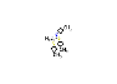 CC(=C\Sc1ccc(C)cc1)/C(=N/c1ccc(C)cc1)Sc1ccc(C)cc1